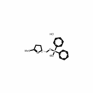 CSC1=N[C@@H](CO[Si](c2ccccc2)(c2ccccc2)C(C)(C)C)CC1.Cl